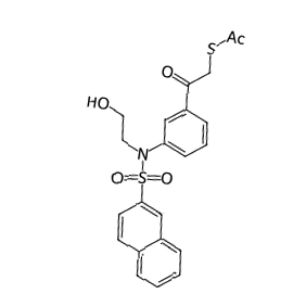 CC(=O)SCC(=O)c1cccc(N(CCO)S(=O)(=O)c2ccc3ccccc3c2)c1